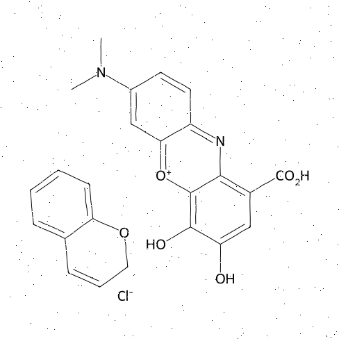 C1=Cc2ccccc2OC1.CN(C)c1ccc2nc3c(C(=O)O)cc(O)c(O)c3[o+]c2c1.[Cl-]